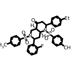 CCc1ccc(C2CC(=O)[C@@H]3CN(S(=O)(=O)c4ccc(C)cc4)C(c4ccccc4F)C[C@@H]3N2S(=O)(=O)c2ccc(C)cc2)cc1